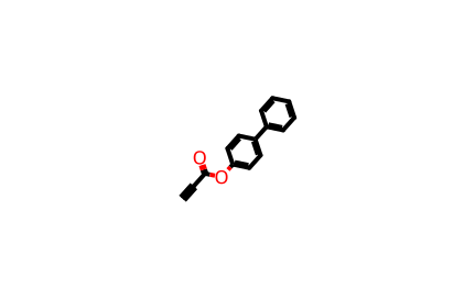 C#CC(=O)Oc1ccc(-c2ccccc2)cc1